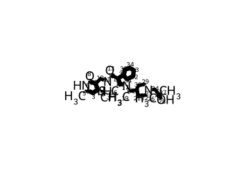 CSc1cc(C)[nH]c(=O)c1CNC(=O)c1c(C)n(C(C)C2CCN(CC(C)(C)O)CC2)c2ccccc12